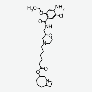 CCOc1cc(N)c(Cl)cc1C(=O)NCC1CN(CCCCCC(=O)O[C@@H]2CCCC3CCN3C2)CCO1